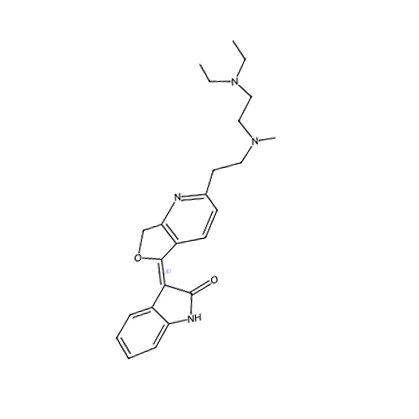 CCN(CC)CCN(C)CCc1ccc2c(n1)CO/C2=C1/C(=O)Nc2ccccc21